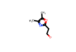 Cc1nc(CC[O])oc1C